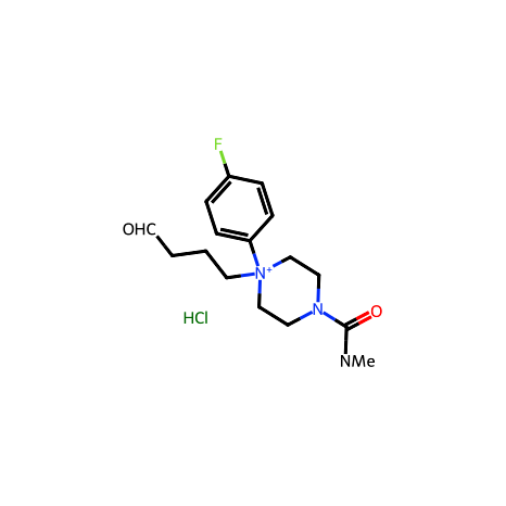 CNC(=O)N1CC[N+](CCCC=O)(c2ccc(F)cc2)CC1.Cl